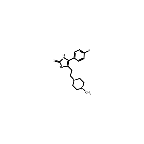 CN1CCN(CCc2[nH]c(=O)[nH]c2-c2ccc(F)cc2)CC1